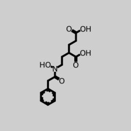 O=C(O)CCC(CCN(O)C(=O)Cc1ccccc1)C(=O)O